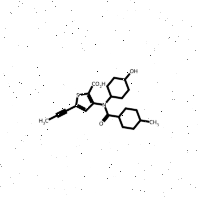 CC#Cc1cc(N(C(=O)C2CCC(C)CC2)C2CCC(O)CC2)c(C(=O)O)s1